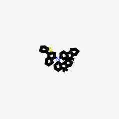 CC1(C)c2ccccc2-c2ccc(N(c3cccc4c3-c3ccccc3C4(C)C)c3cc4sc5ccccc5c4c4ccccc34)cc21